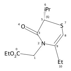 CCOC(=O)CN1C(=O)[C@H](C(C)C)SC=C1CC